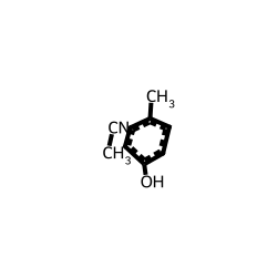 CC#N.Cc1ccc(O)cc1